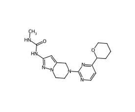 CNC(=O)Nc1cc2n(n1)CCN(c1nccc(C3CCCCO3)n1)C2